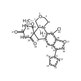 C[C@@H]1OCCN2c3c(cc4c(-c5nccs5)noc4c3Cl)CC3(C(=O)NC(=O)NC3=O)[C@@H]12